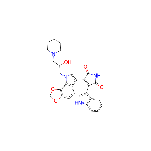 O=C1NC(=O)C(c2cn(CC(O)CN3CCCCC3)c3c4c(ccc23)OCO4)=C1c1c[nH]c2ccccc12